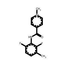 Cc1ccc(F)c(NC(=O)c2cc[n+](C)cc2)c1F